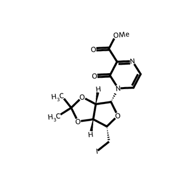 COC(=O)c1nccn([C@@H]2O[C@H](CI)[C@@H]3OC(C)(C)O[C@@H]32)c1=O